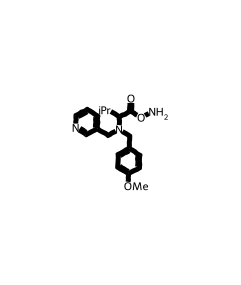 COc1ccc(CN(Cc2cccnc2)C(C(=O)ON)C(C)C)cc1